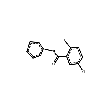 O=C(Nc1ccccc1)c1cc(Cl)ccc1I